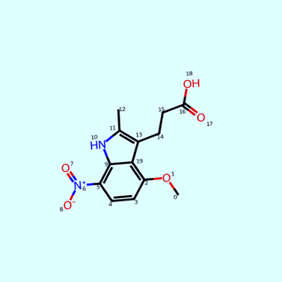 COc1ccc([N+](=O)[O-])c2[nH]c(C)c(CCC(=O)O)c12